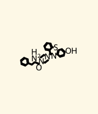 NC(Cc1ccccc1)C(=O)N1CCN(C2=Nc3ccc(O)cc3Sc3ccccc32)CC1